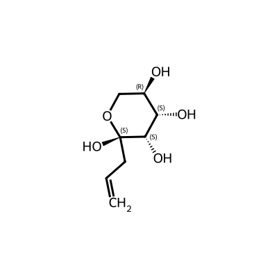 C=CC[C@]1(O)OC[C@@H](O)[C@H](O)[C@@H]1O